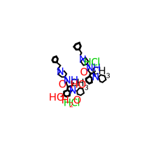 Cc1c(C(=O)NC2CCN(CCc3ccccc3)CC2)c2cc(O)ccc2n1C1CCCCC1.Cc1c(C(=O)NC2CCN(CCc3ccccc3)CC2)c2cc(O)ccc2n1C1CCCCC1.Cl.Cl.O